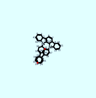 C1=CC2C3=C(C4C(C=C3)C3C=CC=CC3N4c3ccc(C4CC=CCC4)cc3)N(C3CC=C(C4CC=CCC4)CC3)C2C=C1